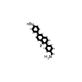 CCCCc1ccc(-c2ccc3c(F)c(-c4ccc(CN)cc4)ccc3c2)cc1